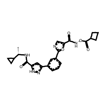 C[C@H](NC(=O)c1cc(-c2cccc(-c3ncc(C(=O)NOC(=O)C4CCC4)o3)c2)n[nH]1)C1CC1